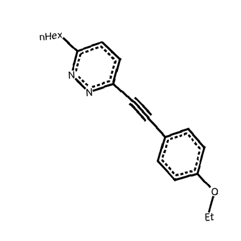 CCCCCCc1ccc(C#Cc2ccc(OCC)cc2)nn1